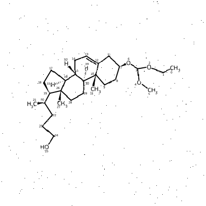 CCOC(OC)O[C@H]1CC[C@@]2(C)C(=CC[C@H]3[C@@H]4CC[C@H]([C@H](C)CCCO)[C@@]4(C)CC[C@@H]32)C1